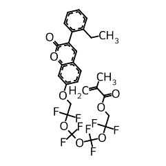 C=C(C)C(=O)OCC(F)(F)OC(F)(F)OC(F)(F)OC(F)(F)COc1ccc2cc(-c3ccccc3CC)c(=O)oc2c1